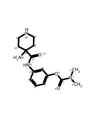 CN(C)C(=O)Oc1cccc(NC(=O)C2(N)CCNCC2)c1